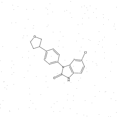 O=c1[nH]c2ccc(Cl)cc2n1-c1ccc(C2CCOC2)cc1